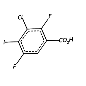 O=C(O)c1cc(F)c(I)c(Cl)c1F